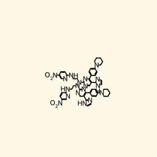 O=[N+]([O-])c1ccc(NCCN(c2ncc(-c3ncc[nH]3)c(-c3ccc(N4CCCCC4)cc3)n2)N(CCNc2ccc([N+](=O)[O-])cn2)c2ncc(-c3ncc[nH]3)c(-c3ccc(N4CCCCC4)cc3)n2)nc1